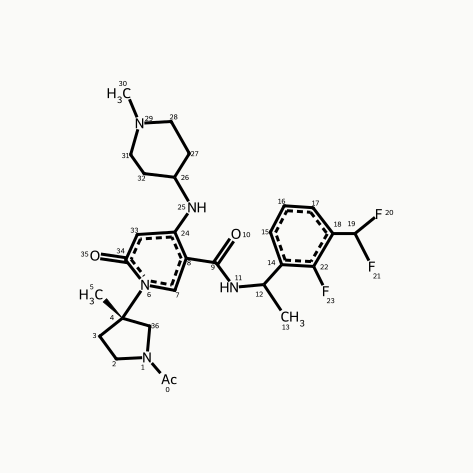 CC(=O)N1CC[C@](C)(n2cc(C(=O)NC(C)c3cccc(C(F)F)c3F)c(NC3CCN(C)CC3)cc2=O)C1